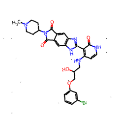 CN1CCC(N2C(=O)c3cc4nc(-c5c(NCC(O)COc6cccc(Br)c6)cc[nH]c5=O)[nH]c4cc3C2=O)CC1